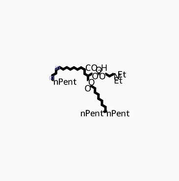 CCCCC/C=C\C/C=C\CCCCCCC(CC(COC(=O)CCCCCCCC(CCCCC)CCCCC)COC(=O)OCCCN(CC)CC)C(=O)O